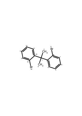 CC(C)(c1ccccc1Br)c1ccccc1Br